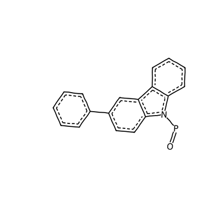 O=Pn1c2ccccc2c2cc(-c3ccccc3)ccc21